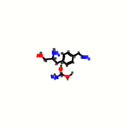 COC(N)=O.NCc1ccc(CC(N)CO)cc1